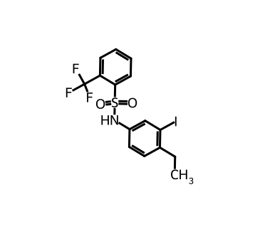 CCc1ccc(NS(=O)(=O)c2ccccc2C(F)(F)F)cc1I